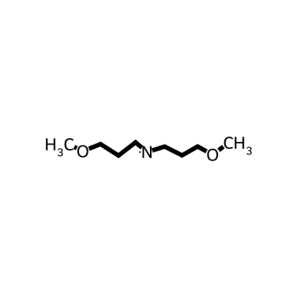 COCCC[N]CCCOC